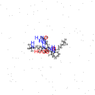 CC(C)[C@H](NC1(C(=O)CCCCCC(C)(C)C)CCCCCC1)C(=O)N[C@@H](CCCNC(N)=O)C(=O)N[C@H](CCCCNC(C)(C)C)C(=O)O